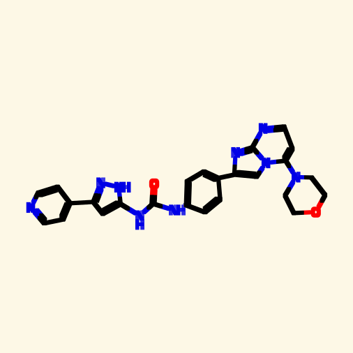 O=C(Nc1ccc(-c2cn3c(N4CCOCC4)ccnc3n2)cc1)Nc1cc(-c2ccncc2)n[nH]1